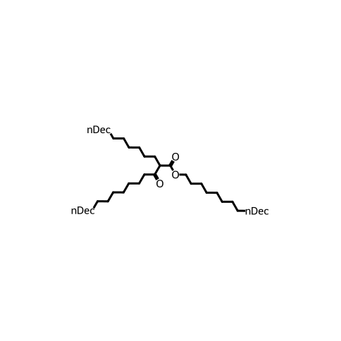 CCCCCCCCCCCCCCCCCCOC(=O)C(CCCCCCCCCCCCCCCC)C(=O)CCCCCCCCCCCCCCCCC